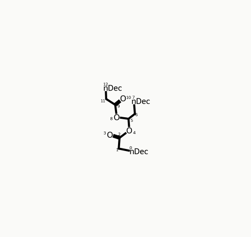 CCCCCCCCCCCC(=O)OC(CCCCCCCCCCC)OC(=O)CCCCCCCCCCC